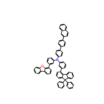 c1ccc(C2(c3ccccc3)c3ccccc3-c3c(-c4cccc(N(c5ccc(-c6ccc(-c7ccc8ccccc8c7)cc6)cc5)c5cccc(-c6cccc7c6oc6ccccc67)c5)c4)cccc32)cc1